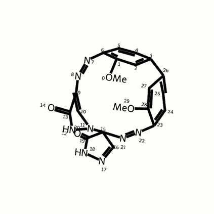 COc1cc2ccc1N=Nc1cn([nH]c1=O)C1(C=NNC1=O)N=Nc1ccc-2cc1OC